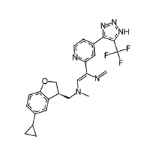 C=N/C(=C\N(C)C[C@@H]1COc2ccc(C3CC3)cc21)c1cc(-c2nn[nH]c2C(F)(F)F)ccn1